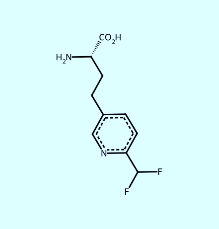 N[C@@H](CCc1ccc(C(F)F)nc1)C(=O)O